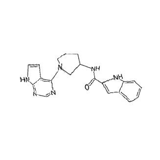 O=C(NC1CCCN(c2ncnc3[nH]ccc23)C1)c1cc2ccccc2[nH]1